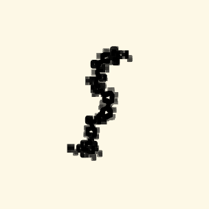 CC(C)(C)OC(=O)N1CCC(C(=O)NCc2cccc(-c3cccc(-c4csc(NC(=O)CNC(=O)c5ccn(S(C)(=O)=O)c5)n4)c3)c2)CC1